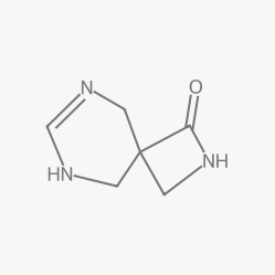 O=C1NCC12CN=CNC2